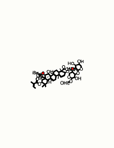 C/C=C(/C)C(=O)O[C@H]1[C@H](OC(=O)C(C)CC)C2(CO)[C@H](OC(C)=O)[C@H](O)[C@]3(C)C(=CCC4[C@@]5(C)CCC(OC6OC(OC=O)C(O)C(OC7OCC(O)C(O)C7O)C6O)[C@@](C)(C(=O)OC)C5CC[C@]43C)[C@@H]2CC1(C)C